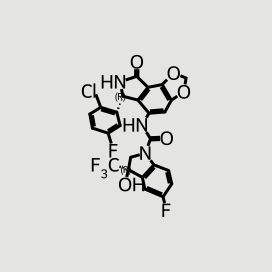 O=C1N[C@@H](c2cc(F)ccc2Cl)c2c(NC(=O)N3C[C@@](O)(C(F)(F)F)c4cc(F)ccc43)cc3c(c21)OCO3